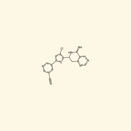 N#Cc1cncc(-c2cc(Cl)c(C3Cc4ncncc4C(=N)N3)s2)c1